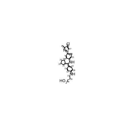 Cc1nn(-c2ccc(NC(c3ccc(NCCC(=O)O)cc3)C3CCCC3)cn2)cc1Cl